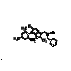 CCCN(Cc1ccccc1)Cc1c(C(F)(F)F)nc2n(-c3c(C)cc(C)cc3C)c(Cl)cn12